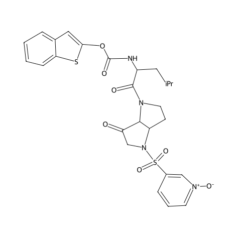 CC(C)CC(NC(=O)Oc1cc2ccccc2s1)C(=O)N1CCC2C1C(=O)CN2S(=O)(=O)c1ccc[n+]([O-])c1